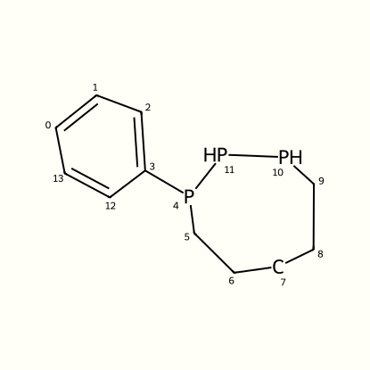 c1ccc(P2CCCCCPP2)cc1